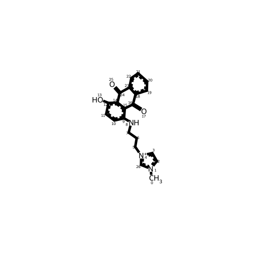 Cn1cc[n+](CCCNc2ccc(O)c3c2C(=O)c2ccccc2C3=O)c1